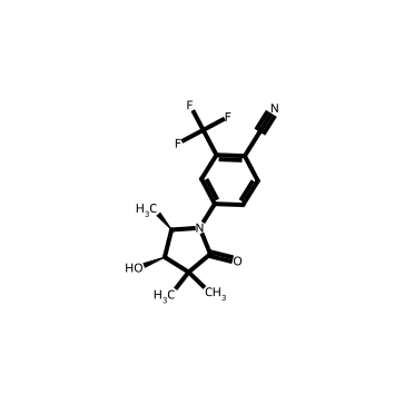 C[C@@H]1[C@H](O)C(C)(C)C(=O)N1c1ccc(C#N)c(C(F)(F)F)c1